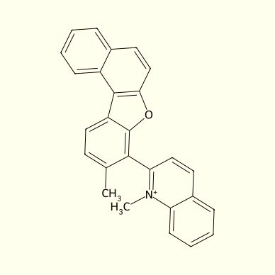 Cc1ccc2c(oc3ccc4ccccc4c32)c1-c1ccc2ccccc2[n+]1C